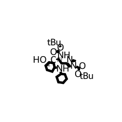 C1CCC(NC2CCCCC2)CC1.CC(C)(C)OC(=O)N[C@@H](Cc1cn(C(=O)OC(C)(C)C)cn1)C(=O)O